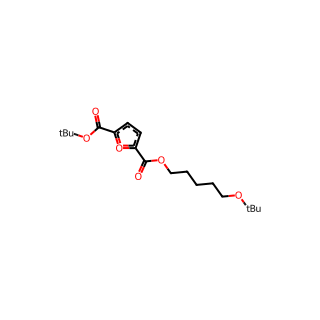 CC(C)(C)OCCCCCOC(=O)c1ccc(C(=O)OC(C)(C)C)o1